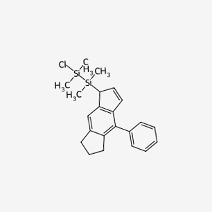 C[Si](C)(Cl)[Si](C)(C)C1C=Cc2c1cc1c(c2-c2ccccc2)CCC1